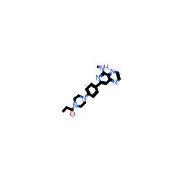 CCC(=O)N1CCN(c2ccc(-c3cc4nccnc4c(NC)n3)cc2)CC1